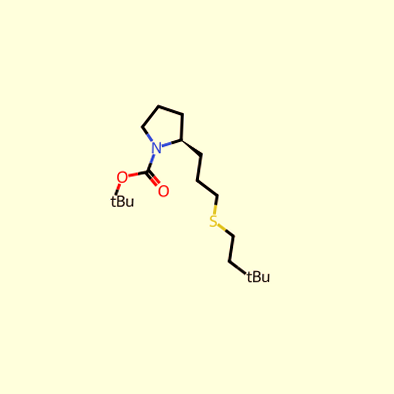 CC(C)(C)CCSCCC[C@@H]1CCCN1C(=O)OC(C)(C)C